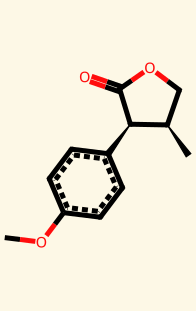 COc1ccc([C@H]2C(=O)OC[C@H]2C)cc1